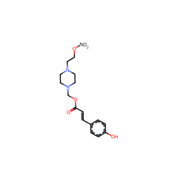 O=C(/C=C/c1ccc(O)cc1)OCN1CCN(CCO[N+](=O)[O-])CC1